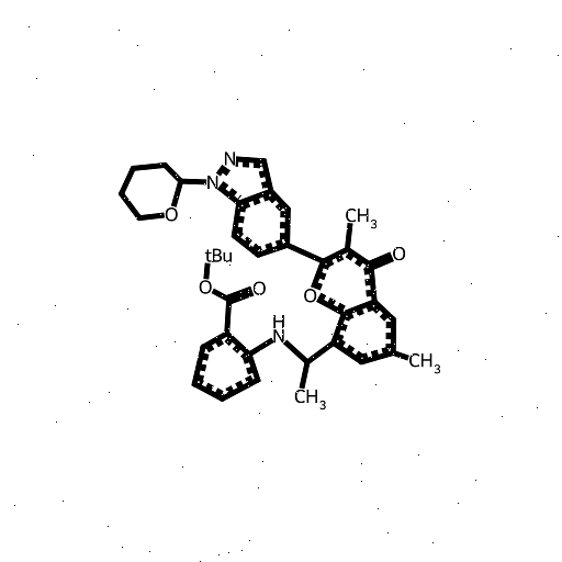 Cc1cc(C(C)Nc2ccccc2C(=O)OC(C)(C)C)c2oc(-c3ccc4c(cnn4C4CCCCO4)c3)c(C)c(=O)c2c1